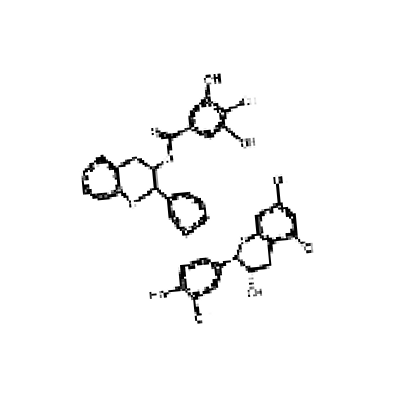 O=C(OC1Cc2ccccc2OC1c1ccccc1)c1cc(O)c(O)c(O)c1.Oc1cc(O)c2c(c1)O[C@H](c1ccc(O)c(O)c1)[C@@H](O)C2